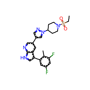 CCS(=O)(=O)N1CCC(n2cc(-c3cnc4[nH]cc(-c5cc(F)cc(F)c5C)c4c3)cn2)CC1